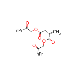 C=C(CC(=O)OCC(=O)CCC)C(=O)OCC(=O)CCC